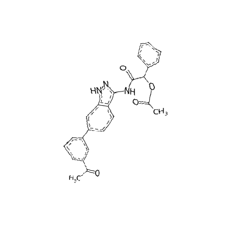 CC(=O)OC(C(=O)Nc1n[nH]c2cc(-c3cccc(C(C)=O)c3)ccc12)c1ccccc1